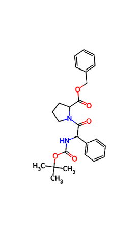 CC(C)(C)OC(=O)NC(C(=O)N1CCCC1C(=O)OCc1ccccc1)c1ccccc1